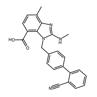 CNc1nc2c(C)ccc(C(=O)O)c2n1Cc1ccc(-c2ccccc2C#N)cc1